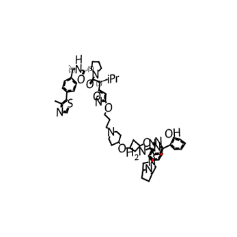 Cc1ncsc1-c1ccc([C@H](C)NC(=O)[C@@H]2CCCN2C(=O)[C@H](c2cc(OCCCN3CCC(OC4CC(Oc5cc(N6C7CCC6CN(c6cc(-c8ccccc8O)nnc6N)C7)ccn5)C4)CC3)no2)C(C)C)cc1